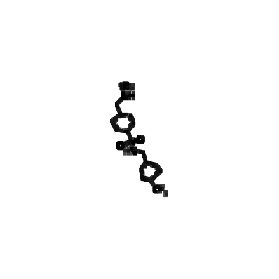 CC(C)(C)NCc1ccc(S(=O)(=O)NCc2ccc(C(F)(F)F)cc2)cc1